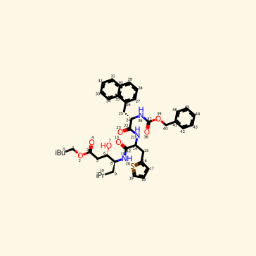 CCC(C)COC(=O)C[C@H](O)[C@H](CC(C)C)NC(=O)C(Cc1cccs1)NC(=O)[C@H](Cc1cccc2ccccc12)NC(=O)OCc1ccccc1